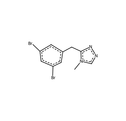 Cn1cnnc1Cc1cc(Br)cc(Br)c1